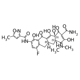 Cc1cc(C(=O)Nc2cc(F)c3c(c2O)C(=O)C2=C(O)[C@]4(O)C(=O)C(C(N)=O)=C(O)[C@@H](N(C)C)[C@@H]4C[C@@H]2C3)no1